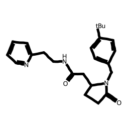 CC(C)(C)c1ccc(CN2C(=O)CCC2CC(=O)NCCc2ccccn2)cc1